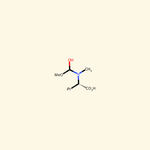 COC(O)N(C)[C@H](C(=O)O)C(C)C